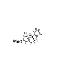 COc1ccc2c(c1)CCNC2(C)c1ccccc1